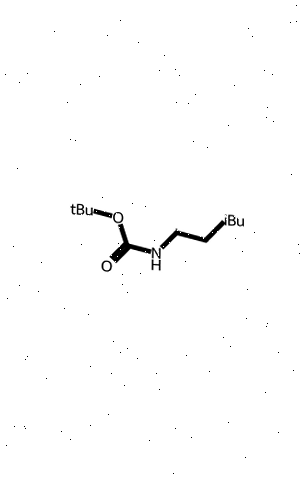 CCC(C)C[CH]NC(=O)OC(C)(C)C